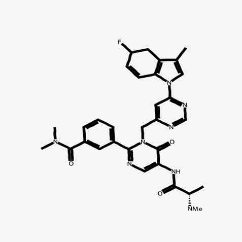 CN[C@@H](C)C(=O)Nc1cnc(-c2cccc(C(=O)N(C)C)c2)n(Cc2cc(-n3cc(C)c4c3C=CC(F)C4)ncn2)c1=O